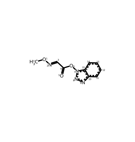 CON=CC(=O)On1nnc2ccccc21